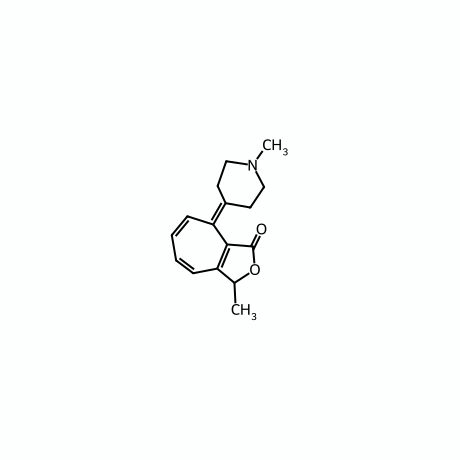 CC1OC(=O)C2=C1C=CC=CC2=C1CCN(C)CC1